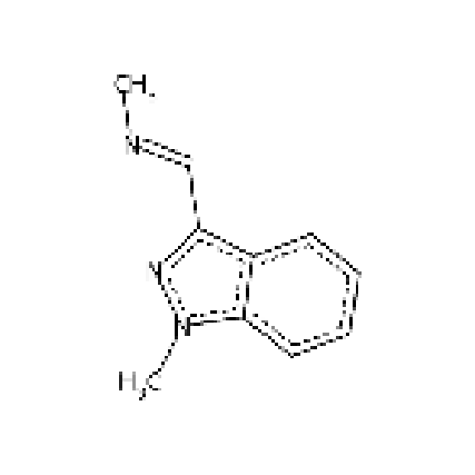 CN=Cc1nn(C)c2ccccc12